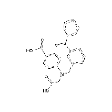 O=C(O)CN(Cc1cccc(C(=O)c2ccccc2)c1)c1ccc(C(=O)O)cc1